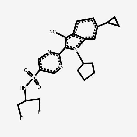 N#Cc1c(-c2ncc(S(=O)(=O)NC(CF)CF)cn2)n(C2CCCC2)c2cc(C3CC3)ccc12